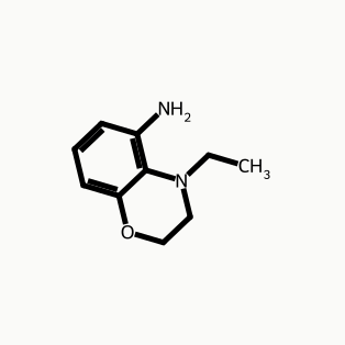 CCN1CCOc2cccc(N)c21